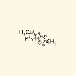 CC1=CC2=C(CC1F)C1OCC(C)CC1C2